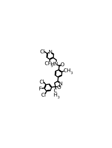 Cc1cc(C2=NOC(C)(c3cc(Cl)c(F)c(Cl)c3)C2)ccc1C(=O)NCc1cnc(Cl)cc1C(F)(F)F